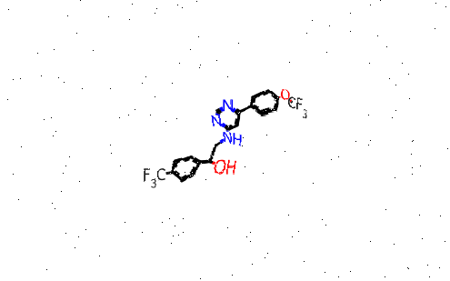 OC(CNc1cc(-c2ccc(OC(F)(F)F)cc2)ncn1)c1ccc(C(F)(F)F)cc1